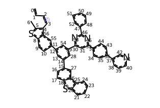 C=C/C=C\c1c(C)sc2ccc(-c3cc(-c4ccc5sc6ccccc6c5c4)cc(-c4cc(-c5ccc(-c6cccnc6)cc5)nc(-c5ccccc5)n4)c3)cc12